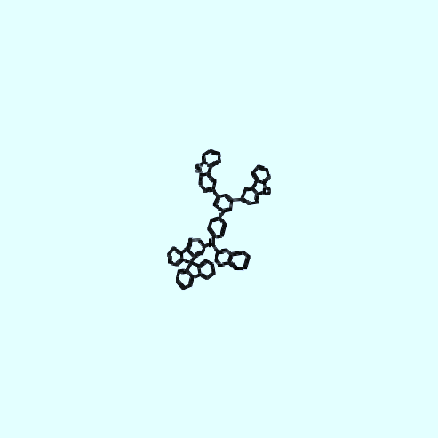 c1ccc2c(c1)-c1ccccc1C21c2ccccc2-c2ccc(N(c3ccc(-c4cc(-c5ccc6oc7ccccc7c6c5)cc(-c5ccc6sc7ccccc7c6c5)c4)cc3)c3ccc4ccccc4c3)cc21